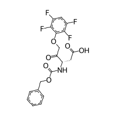 O=C(O)C[C@H](NC(=O)OCc1ccccc1)C(=O)COc1c(F)c(F)cc(F)c1F